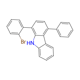 Brc1ccccc1-c1ccc(-c2ccccc2)c2c1[nH]c1ccccc12